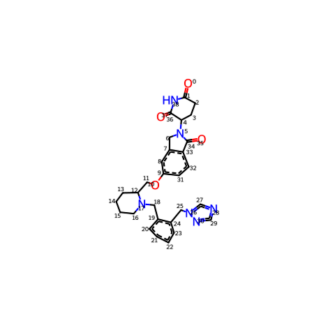 O=C1CCC(N2Cc3cc(OCC4CCCCN4Cc4ccccc4Cn4cncn4)ccc3C2=O)C(=O)N1